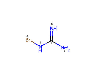 N=C(N)NBr